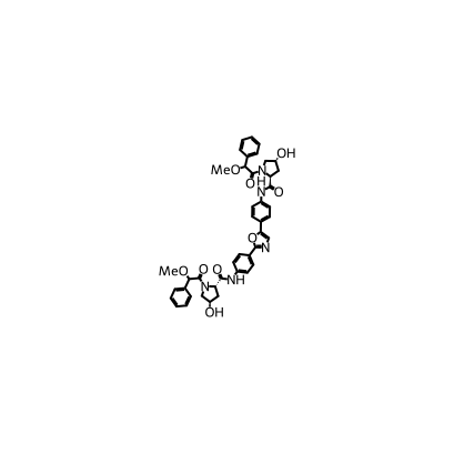 COC(C(=O)N1C[C@H](O)C[C@H]1C(=O)Nc1ccc(-c2cnc(-c3ccc(NC(=O)[C@@H]4C[C@@H](O)CN4C(=O)C(OC)c4ccccc4)cc3)o2)cc1)c1ccccc1